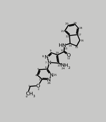 CCOc1ccc(-n2ncc(C(=O)NC3CCc4ccccc43)c2N)nn1